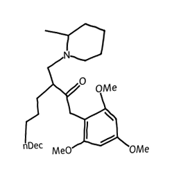 CCCCCCCCCCCCCC(CN1CCCCC1C)C(=O)Cc1c(OC)cc(OC)cc1OC